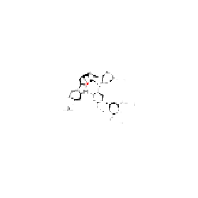 Cc1cc(-c2cc(-n3c4ccccc4c4ccc(C(C)(C)C)cc43)c(-n3c4ccccc4c4ccc(C(C)(C)C)cc43)cc2C#N)cc(C)n1